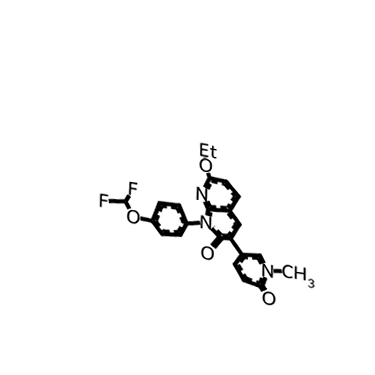 CCOc1ccc2cc(-c3ccc(=O)n(C)c3)c(=O)n(-c3ccc(OC(F)F)cc3)c2n1